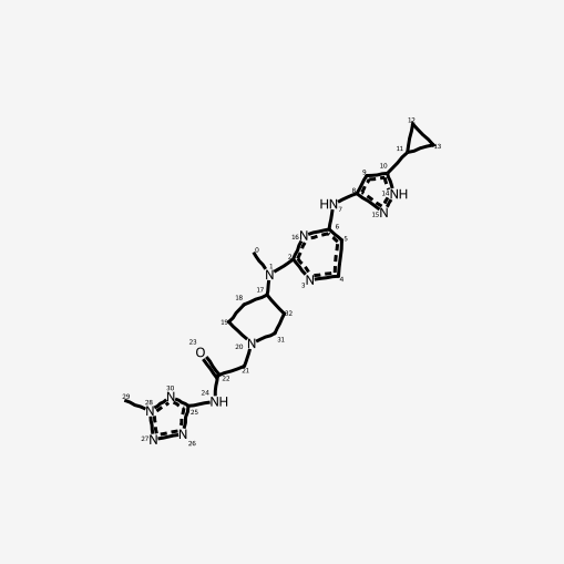 CN(c1nccc(Nc2cc(C3CC3)[nH]n2)n1)C1CCN(CC(=O)Nc2nnn(C)n2)CC1